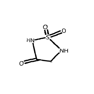 O=C1[C]NS(=O)(=O)N1